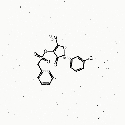 NC1=C(OS(=O)(=O)Cc2ccccc2)C(=O)[C@@H](c2cccc(Cl)c2)O1